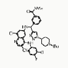 CNC(=O)c1cccc(C(Nc2cc(Cl)c3ncc(C#N)c(Nc4ccc(F)c(Cl)c4)c3c2)c2cn(C3CCN(C(C)(C)C)CC3)nn2)c1